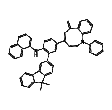 C=C1/C=C(c2ccc(Nc3cccc4ccccc34)c(-c3ccc4c(c3)-c3ccccc3C4(C)C)c2)\C=C/N(c2ccccc2)c2ccccc21